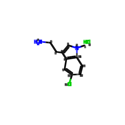 Cl.Cn1cc(CCN)c2cc(Cl)ccc21